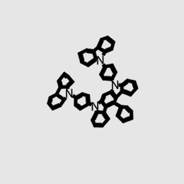 C1=CC2c3ccccc3N(c3ccc(-n4c5ccccc5c5c(-c6ccccc6)c6c7ccccc7n(-c7ccc(-n8c9ccccc9c9ccccc98)cc7)c6cc54)cc3)C2C=C1